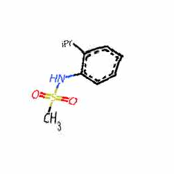 CC(C)c1ccccc1NS(C)(=O)=O